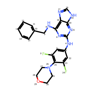 Fc1cc(Nc2nc(NCc3ccccc3)c3nc[nH]c3n2)cc(F)c1N1CCOCC1